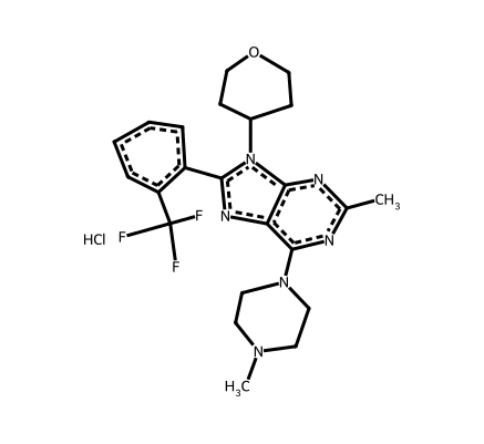 Cc1nc(N2CCN(C)CC2)c2nc(-c3ccccc3C(F)(F)F)n(C3CCOCC3)c2n1.Cl